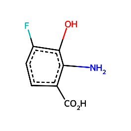 Nc1c(C(=O)O)ccc(F)c1O